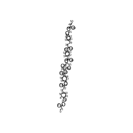 C=CC(=O)OCOc1ccc(CCC(=O)Oc2ccc(C(=O)OC3COC4C(OC(=O)c5ccc(OC(=O)CCc6ccc(OCOC(=O)C=C)cc6)cc5)COC34)cc2)cc1